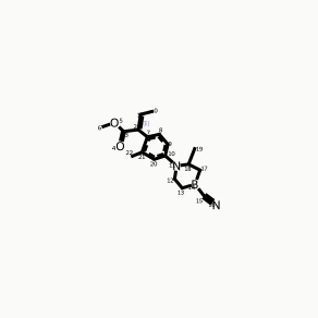 C/C=C(/C(=O)OC)c1ccc(N2CCB(C#N)CC2C)cc1C